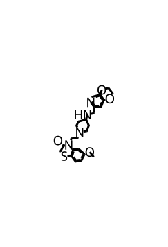 COc1ccc2c(c1)N(CCN1CCC(NCc3cc4c(cn3)OCCO4)CC1)C(=O)CS2